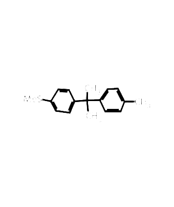 CSc1ccc(C(C)(C)c2ccc(C)cc2)cc1